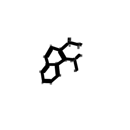 CC(C)Nc1ccc2ccccc2c1N(C)C